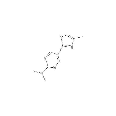 Cc1csc(-c2cnc(N(C)C)nc2)n1